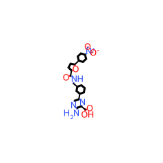 Nc1ncc(-c2cccc(CNC(=O)c3ccc(-c4ccc([N+](=O)[O-])cc4)o3)c2)nc1C(=O)O